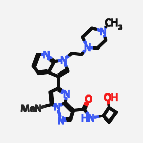 CNc1cc(-c2cn(CCN3CCN(C)CC3)c3ncccc23)nc2c(C(=O)N[C@@H]3CC[C@@H]3O)cnn12